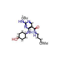 CCCCNc1ncc(C(=O)NCCCOC)c(NC2CCC(O)CC2)n1